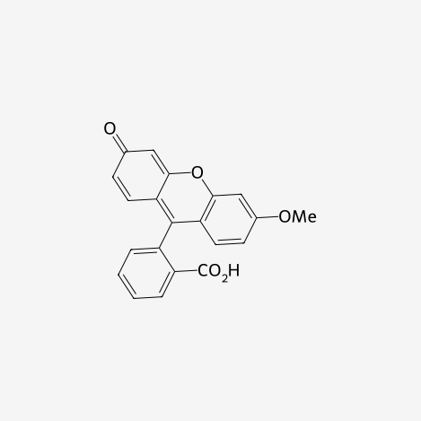 COc1ccc2c(-c3ccccc3C(=O)O)c3ccc(=O)cc-3oc2c1